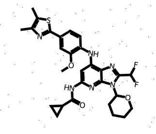 COc1cc(-c2nc(C)c(C)s2)ccc1Nc1cc(NC(=O)C2CC2)nc2c1nc(C(F)F)n2C1CCCCO1